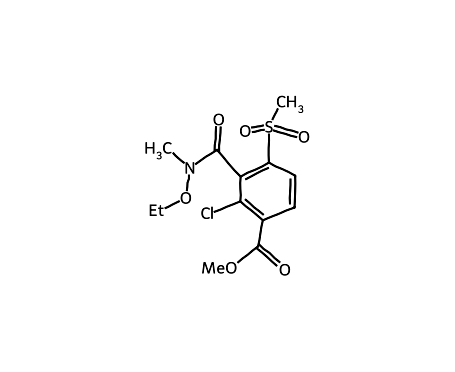 CCON(C)C(=O)c1c(S(C)(=O)=O)ccc(C(=O)OC)c1Cl